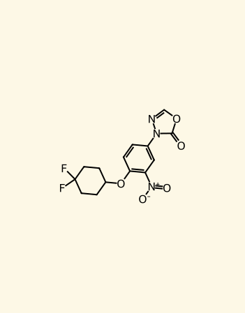 O=c1ocnn1-c1ccc(OC2CCC(F)(F)CC2)c([N+](=O)[O-])c1